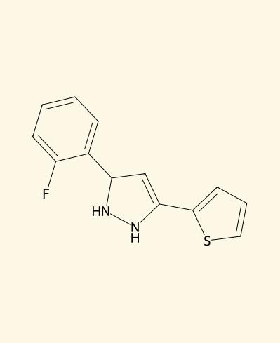 Fc1ccccc1C1C=C(c2cccs2)NN1